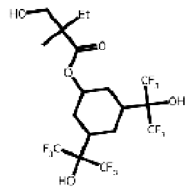 CCC(C)(CO)C(=O)OC1CC(C(O)(C(F)(F)F)C(F)(F)F)CC(C(O)(C(F)(F)F)C(F)(F)F)C1